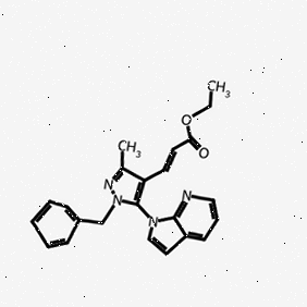 CCOC(=O)/C=C/c1c(C)nn(Cc2ccccc2)c1-n1ccc2cccnc21